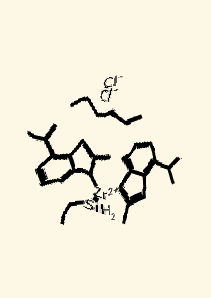 CCCCCC.CC[SiH2][Zr+2]([CH]1C(C)=Cc2c(C(C)C)cccc21)[CH]1C(C)=Cc2c(C(C)C)cccc21.[Cl-].[Cl-]